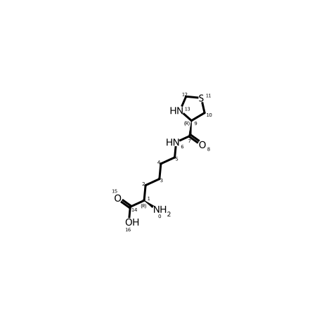 N[C@H](CCCCNC(=O)[C@@H]1CSCN1)C(=O)O